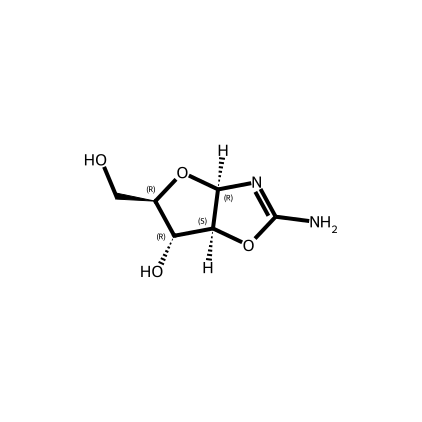 NC1=N[C@@H]2O[C@H](CO)[C@@H](O)[C@@H]2O1